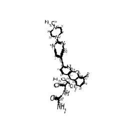 CN1CCN(c2ncc(-c3ccc4c(n3)Oc3c(F)cccc3[C@@H]4C(C)(C)C(=O)NC(N)=O)cn2)CC1